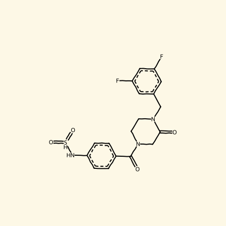 O=C1CN(C(=O)c2ccc(N[SH](=O)=O)cc2)CCN1Cc1cc(F)cc(F)c1